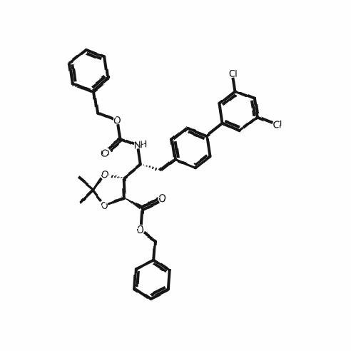 CC1(C)O[C@H]([C@@H](Cc2ccc(-c3cc(Cl)cc(Cl)c3)cc2)NC(=O)OCc2ccccc2)[C@@H](C(=O)OCc2ccccc2)O1